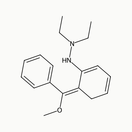 CCN(CC)NC1=CC=CCC1=C(OC)c1ccccc1